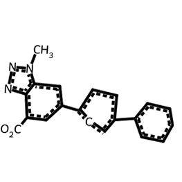 Cn1nnc2c(C(=O)O)cc(-c3ccc(-c4ccccc4)cc3)cc21